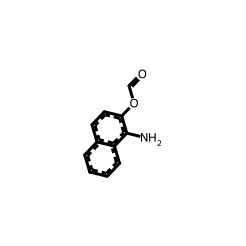 Nc1c(OC=O)ccc2ccccc12